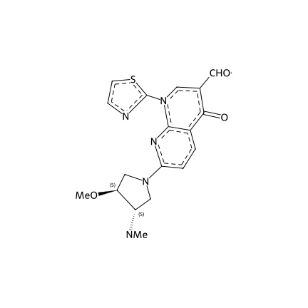 CN[C@H]1CN(c2ccc3c(=O)c([C]=O)cn(-c4nccs4)c3n2)C[C@@H]1OC